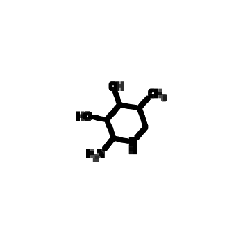 CC1CNC(N)C(O)C1O